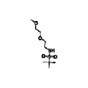 COCCOCCNS(=O)(=O)C(C)(C)C